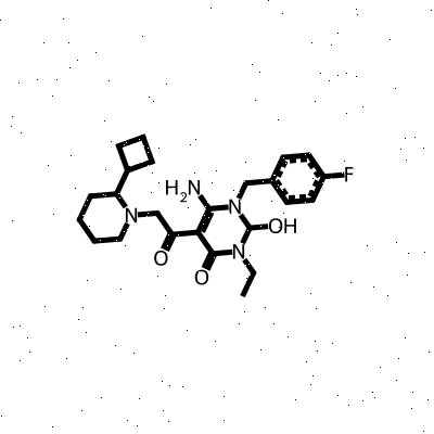 CCN1C(=O)C(C(=O)CN2CCCCC2C2CCC2)=C(N)N(Cc2ccc(F)cc2)C1O